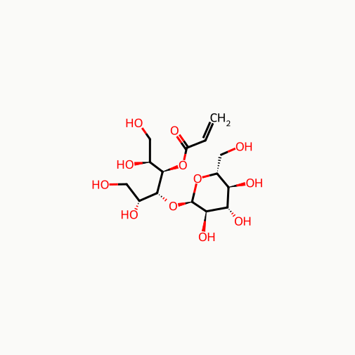 C=CC(=O)O[C@@H]([C@H](O[C@H]1O[C@H](CO)[C@@H](O)[C@H](O)[C@H]1O)[C@H](O)CO)[C@@H](O)CO